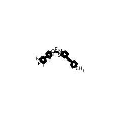 CC1CCC(C#Cc2ccc3nc(C(F)(F)Oc4ccc(-c5cc(F)c(F)c(F)c5)c(F)c4)sc3c2)CC1